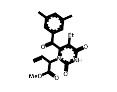 C=CC(C(=O)OC)n1c(C(=O)c2cc(C)cc(C)c2)c(CC)c(=O)[nH]c1=O